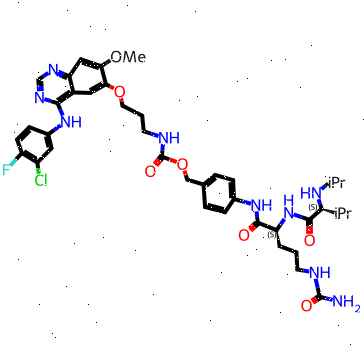 COc1cc2ncnc(Nc3ccc(F)c(Cl)c3)c2cc1OCCCNC(=O)OCc1ccc(NC(=O)[C@H](CCCNC(N)=O)NC(=O)[C@@H](NC(C)C)C(C)C)cc1